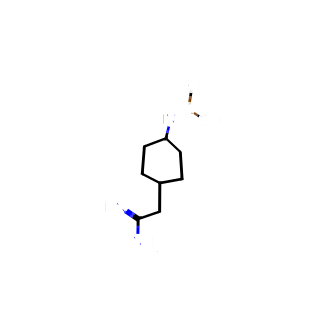 C[SH](C)NC1CCC(CC(=N)N)CC1